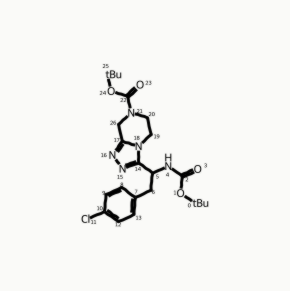 CC(C)(C)OC(=O)NC(Cc1ccc(Cl)cc1)c1nnc2n1CCN(C(=O)OC(C)(C)C)C2